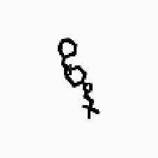 CC(C)(C)CCOC1CCN(CC2CCCCC2)CC1